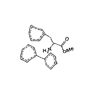 COC(=O)C(N)Cc1ccccc1.c1ccc(-c2ccccc2)cc1